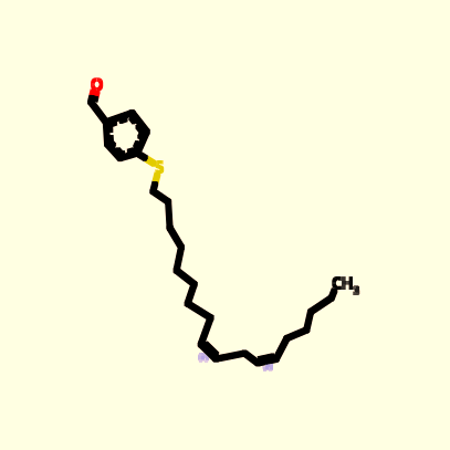 CCCCC/C=C\C/C=C\CCCCCCCCSc1ccc(C=O)cc1